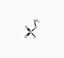 O=S(=O)(F)O[SiH3]